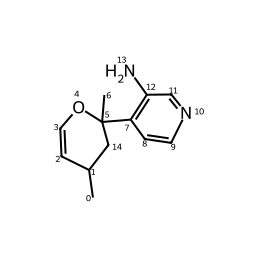 CC1C=COC(C)(c2ccncc2N)C1